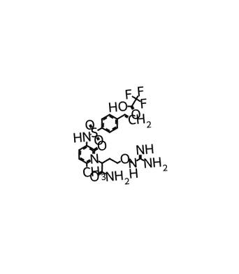 C=Cc1ccc(S(=O)(=O)Nc2ccc(C)n(C(CCONC(=N)N)C(N)=O)c2=O)cc1.O=C(O)C(F)(F)F